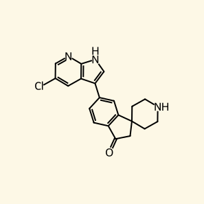 O=C1CC2(CCNCC2)c2cc(-c3c[nH]c4ncc(Cl)cc34)ccc21